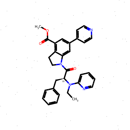 CCN(c1ccccn1)[C@@H](Cc1ccccc1)C(=O)N1CCc2c(C(=O)OC)cc(-c3ccncc3)cc21